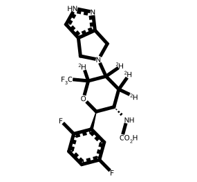 [2H]C1([2H])[C@H](NC(=O)O)[C@@H](c2cc(F)ccc2F)OC([2H])(C(F)(F)F)C1([2H])N1Cc2c[nH]nc2C1